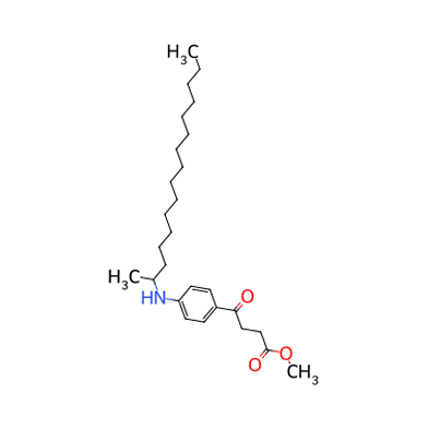 CCCCCCCCCCCCCCC(C)Nc1ccc(C(=O)CCC(=O)OC)cc1